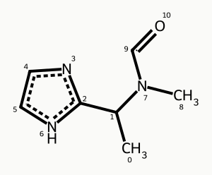 CC(c1ncc[nH]1)N(C)[C]=O